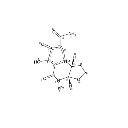 CCCN1C(=O)c2c(O)c(=O)c(C(N)=O)cn2[C@@H]2CCO[C@@H]21